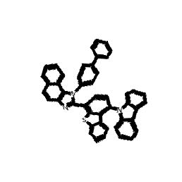 c1ccc(-c2ccc(-n3c(-c4ccc(-n5c6ccccc6c6ccccc65)c5c4sc4ccccc45)nc4ccc5ccccc5c43)cc2)cc1